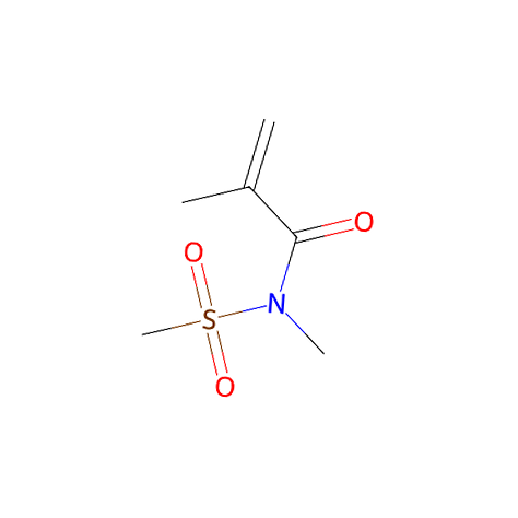 C=C(C)C(=O)N(C)S(C)(=O)=O